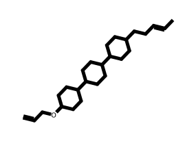 C=CCOC1CCC(C2CCC(C3CCC(CC/C=C/C)CC3)CC2)CC1